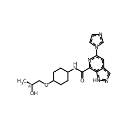 C[C@H](O)COC1CCC(NC(=O)c2nc(-n3ccnc3)cc3cn[nH]c23)CC1